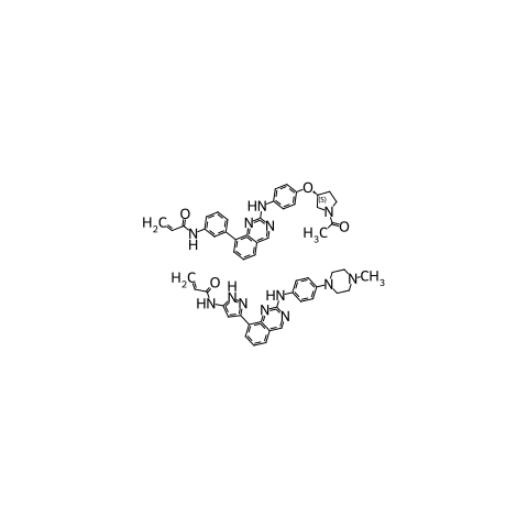 C=CC(=O)Nc1cc(-c2cccc3cnc(Nc4ccc(N5CCN(C)CC5)cc4)nc23)n[nH]1.C=CC(=O)Nc1cccc(-c2cccc3cnc(Nc4ccc(O[C@H]5CCN(C(C)=O)C5)cc4)nc23)c1